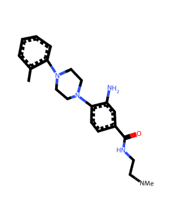 CNCCNC(=O)c1ccc(N2CCN(c3ccccc3C)CC2)c(N)c1